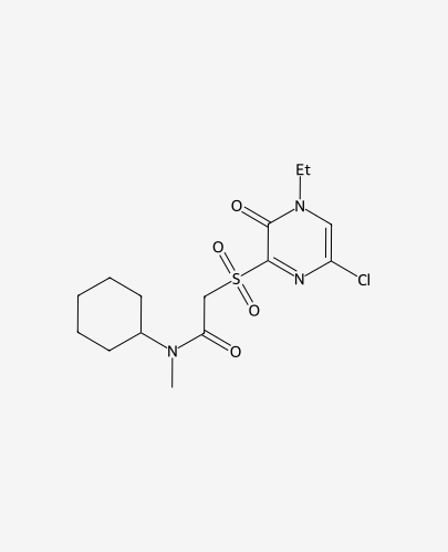 CCn1cc(Cl)nc(S(=O)(=O)CC(=O)N(C)C2CCCCC2)c1=O